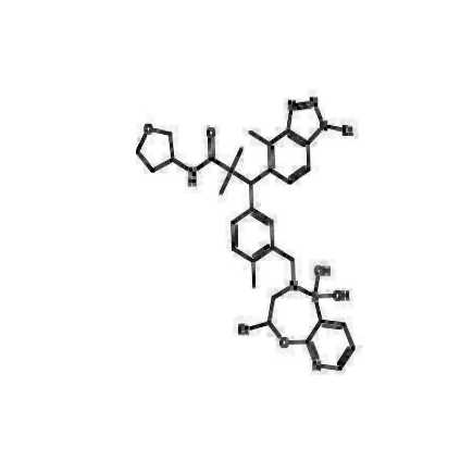 CCC1CN(Cc2cc(C(c3ccc4c(nnn4CC)c3C)C(C)(C)C(=O)NC3CCOC3)ccc2C)S(O)(O)c2cccnc2O1